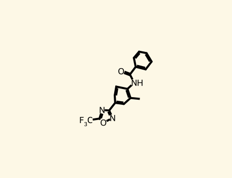 Cc1cc(-c2noc(C(F)(F)F)n2)ccc1NC(=O)c1ccccc1